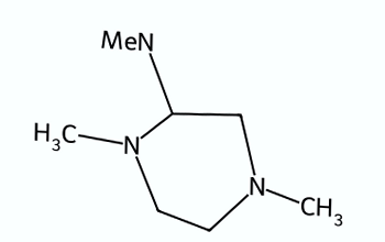 CNC1CN(C)CCN1C